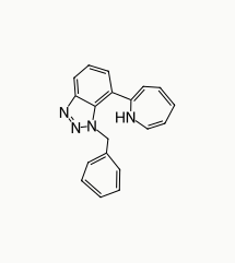 C1=CC=C(c2cccc3nnn(Cc4ccccc4)c23)NC=C1